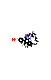 Cc1ccc(C2=C(c3cnc(O[C@H]4CCN(CCCF)C4)nc3)c3ccc(O)cc3SC2)c(F)c1